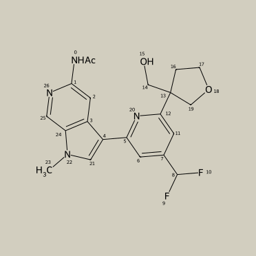 CC(=O)Nc1cc2c(-c3cc(C(F)F)cc(C4(CO)CCOC4)n3)cn(C)c2cn1